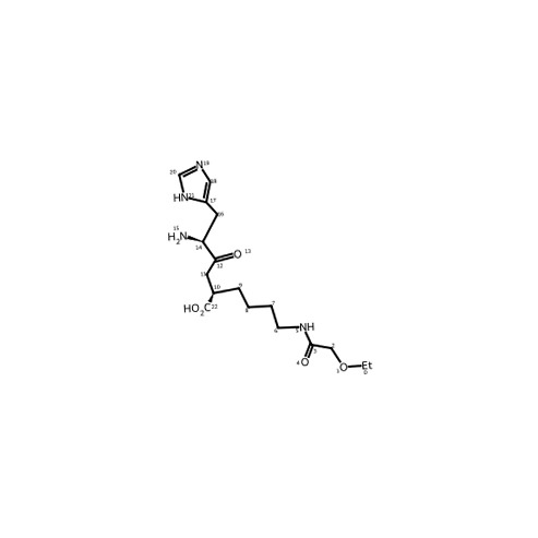 CCOCC(=O)NCCCC[C@H](CC(=O)[C@@H](N)Cc1cnc[nH]1)C(=O)O